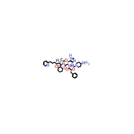 CC(=O)N(C(=O)[C@H](Cc1cnc[nH]1)NC(=O)[C@H](Cc1ccccc1)OC(=O)N1CCC(N)CC1)C(C[C@@H](O)CCCc1ccccn1)C1CCCCC1